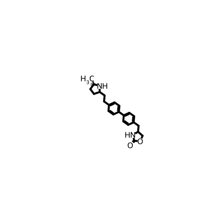 C[C@@H]1CCC(CCc2ccc(-c3ccc(CC4COC(=O)N4)cc3)cc2)N1